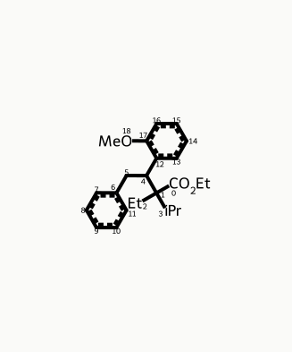 CCOC(=O)C(CC)(C(C)C)C(Cc1ccccc1)c1ccccc1OC